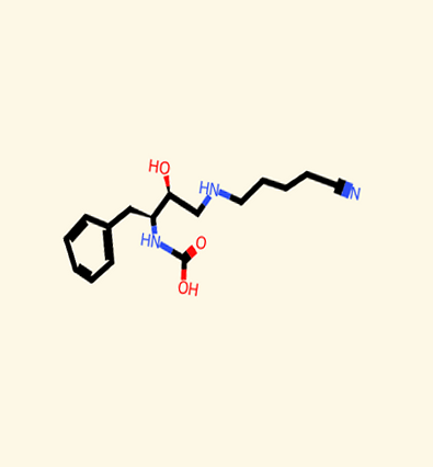 N#CCCCCNC[C@H](O)[C@H](Cc1ccccc1)NC(=O)O